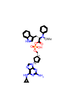 CON(c1ccccc1)[C@@H](Cc1c[nH]c2ccccc12)C(=O)OP(=O)(O)OC[C@@H]1C=C[C@H](n2cnc3c(NC4CC4)nc(N)nc32)C1